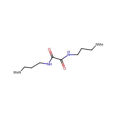 CNCCCNC(=O)C(=O)NCCCNC